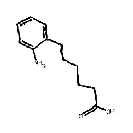 Nc1ccccc1CCCCCC(=O)O